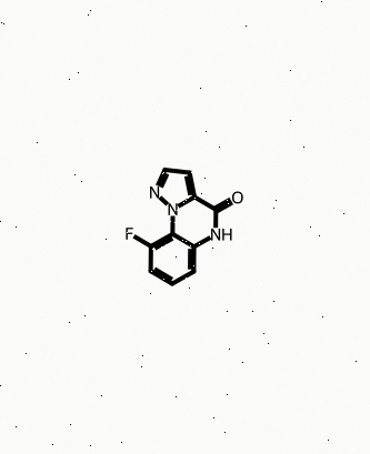 O=c1[nH]c2cccc(F)c2n2nccc12